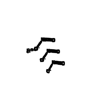 O=N[O-].O=N[O-].O=N[O-].[Er+3]